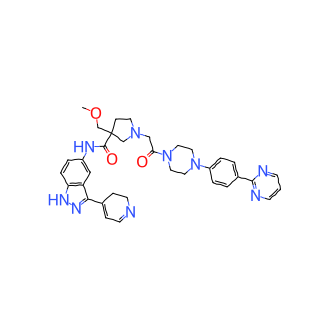 COCC1(C(=O)Nc2ccc3[nH]nc(C4=CC=NCC4)c3c2)CCN(CC(=O)N2CCN(c3ccc(-c4ncccn4)cc3)CC2)C1